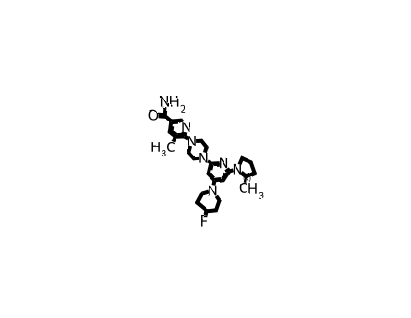 Cc1cc(C(N)=O)cnc1N1CCN(c2cc(N3CCC(F)CC3)cc(N3CCC[C@H]3C)n2)CC1